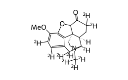 [2H]c1c([2H])c2c3c(c1OC)OC1C(=O)C([2H])([2H])C[C@@H]4[C@@]31CCN(C([2H])([2H])[2H])[C@]4([2H])C2([2H])[2H]